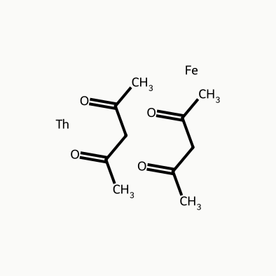 CC(=O)CC(C)=O.CC(=O)CC(C)=O.[Fe].[Th]